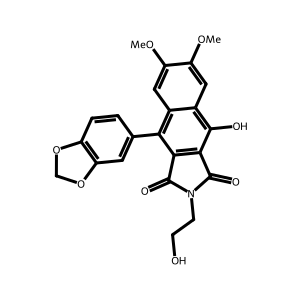 COc1cc2c(O)c3c(c(-c4ccc5c(c4)OCO5)c2cc1OC)C(=O)N(CCO)C3=O